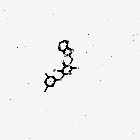 Cc1cc(C)cc(Sc2[nH]c(=O)n(Cc3nc4ccccc4o3)c(=O)c2C(C)C)c1